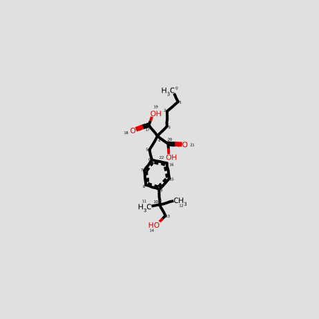 CCCCC(Cc1ccc(C(C)(C)CO)cc1)(C(=O)O)C(=O)O